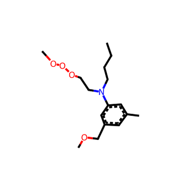 CCCCN(CCOOOC)c1cc(C)cc(COC)c1